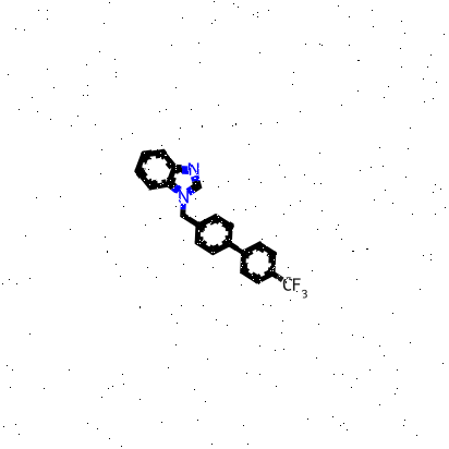 FC(F)(F)c1ccc(-c2ccc(Cn3cnc4ccccc43)cc2)cc1